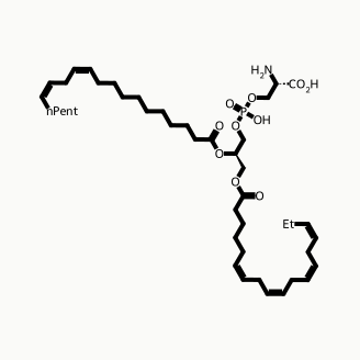 CC/C=C\C/C=C\C/C=C\C/C=C\CCCCC(=O)OC[C@H](COP(=O)(O)OC[C@H](N)C(=O)O)OC(=O)CCCCCCCCC/C=C\C/C=C\CCCCC